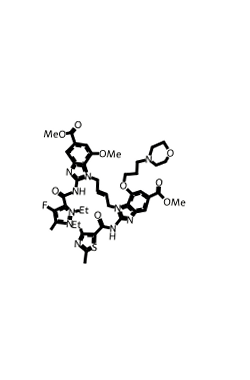 CCc1nc(C)sc1C(=O)Nc1nc2cc(C(=O)OC)cc(OCCCN3CCOCC3)c2n1CC=CCn1c(NC(=O)c2c(F)c(C)nn2CC)nc2cc(C(=O)OC)cc(OC)c21